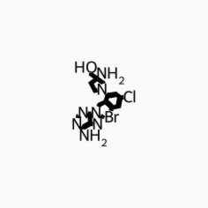 Nc1ncnc2c1ncn2Cc1c(Br)cc(Cl)cc1N1CCC(N)(CO)C1